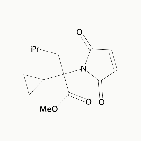 COC(=O)C(CC(C)C)(C1CC1)N1C(=O)C=CC1=O